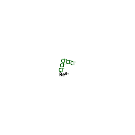 [Cl-].[Cl-].[Cl-].[Cl-].[Cl-].[Re+5]